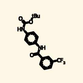 CC(C)(C)OC(=O)Nc1ccc(NC(=O)c2cccc(C(F)(F)F)c2)cc1